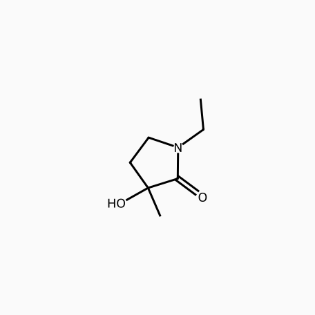 CCN1CCC(C)(O)C1=O